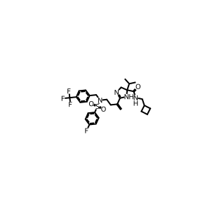 C=C(CCN(Cc1ccc(C(F)(F)F)cc1)S(=O)(=O)c1ccc(F)cc1)C1=NCC(C(=O)NCC2CCC2)(C(C)C)N1